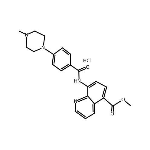 COC(=O)c1ccc(NC(=O)c2ccc(N3CCN(C)CC3)cc2)c2ncccc12.Cl